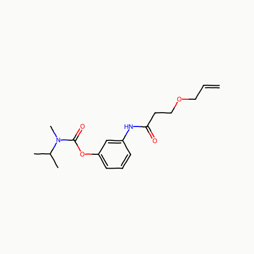 C=CCOCCC(=O)Nc1cccc(OC(=O)N(C)C(C)C)c1